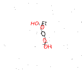 CCC(CCO)OCc1ccc(CO/C(C)=C(\C)O)cc1